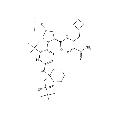 CC(C)(C)O[C@@H]1C[C@@H](C(=O)NC(CC2CCC2)C(=O)C(N)=O)N(C(=O)[C@@H](NC(=O)NC2(CS(=O)(=O)C(C)(C)C)CCCCC2)C(C)(C)C)C1